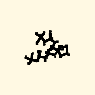 CC(C)(C)OC(=O)NCC[C@@]1(C(=O)OC(=O)OC(C)(C)C)CCCN1